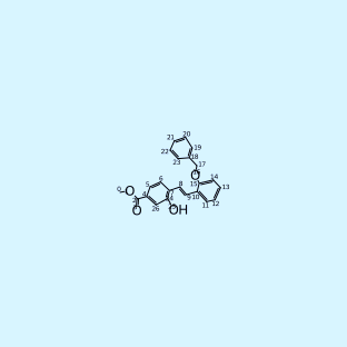 COC(=O)c1ccc(C=Cc2ccccc2OCc2ccccc2)c(O)c1